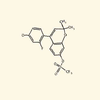 CC1(C)C=C(c2ccc(Cl)cc2F)c2ccc(OS(=O)(=O)C(F)(F)F)cc2O1